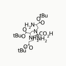 CC(C)(C)OC(=O)CCC[C@@](N)(C(=O)O)N(CC(N)C(=O)OC(C)(C)C)CC(N)C(=O)OC(C)(C)C